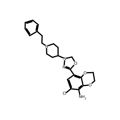 Nc1c(Cl)cc(C2=NN(C3CCN(CCc4ccccc4)CC3)CO2)c2c1OCCO2